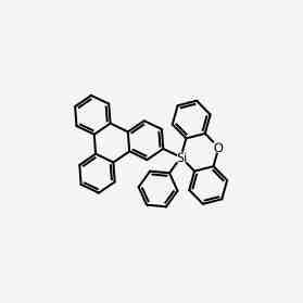 c1ccc([Si]2(c3ccc4c5ccccc5c5ccccc5c4c3)c3ccccc3Oc3ccccc32)cc1